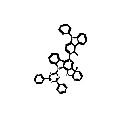 CC1C(c2cc3c(c4c2c2ccccc2n4-c2nc(-c4ccccc4)nc(-c4ccccc4)n2)OC2C=CC=CC32C)=CC=C2C1c1ccccc1N2c1ccccc1